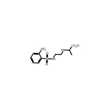 CCOC(=O)C(C)NCCNS(=O)(=O)c1ccccc1[N+](=O)[O-]